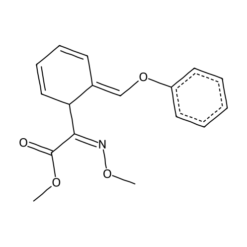 CON=C(C(=O)OC)C1C=CC=CC1=COc1ccccc1